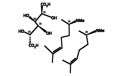 CN[C@H](C)CCC=C(C)C.CN[C@H](C)CCC=C(C)C.O=C(O)[C@@H](O)[C@H](O)[C@@H](O)[C@@H](O)C(=O)O